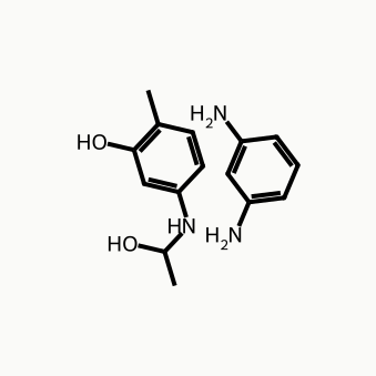 Cc1ccc(NC(C)O)cc1O.Nc1cccc(N)c1